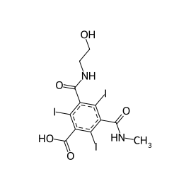 CNC(=O)c1c(I)c(C(=O)O)c(I)c(C(=O)NCCO)c1I